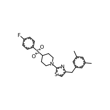 Cc1cc(C)cc(Cc2csc(N3CCC(S(=O)(=O)c4ccc(F)cc4)CC3)n2)c1